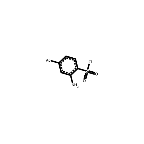 CC(=O)c1ccc(S(=O)(=O)Cl)c(N)c1